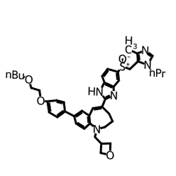 CCCCOCCOc1ccc(-c2ccc3c(c2)/C=C(/c2nc4cc([S@@+]([O-])Cc5c(C)ncn5CCC)ccc4[nH]2)CCCN3CC2COC2)cc1